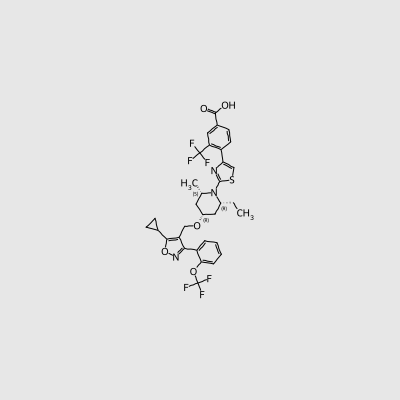 CC[C@@H]1C[C@H](OCc2c(-c3ccccc3OC(F)(F)F)noc2C2CC2)C[C@H](C)N1c1nc(-c2ccc(C(=O)O)cc2C(F)(F)F)cs1